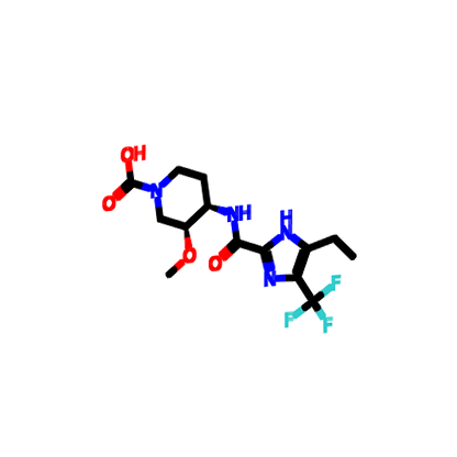 CCc1[nH]c(C(=O)N[C@@H]2CCN(C(=O)O)C[C@@H]2OC)nc1C(F)(F)F